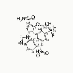 C[C@@H](Oc1cc(-n2cnc3ccc(C[SH](=O)=O)cc32)sc1C(N)=O)c1ccccc1C(F)(F)F